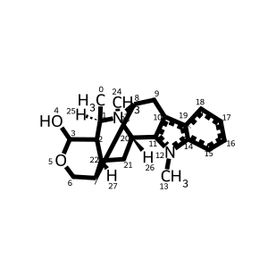 C[C@@H]1C2C(O)OCC3C4Cc5c(n(C)c6ccccc56)[C@H](C[C@H]32)[N+]41C